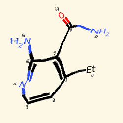 CCc1ccnc(N)c1C(N)=O